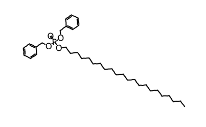 CCCCCCCCCCCCCCCCCCCCCCOP(=O)(OCc1ccccc1)OCc1ccccc1